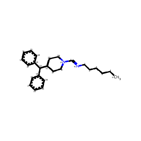 CCCCCCN=CN1CCC(C(c2ccccc2)c2ccccc2)CC1